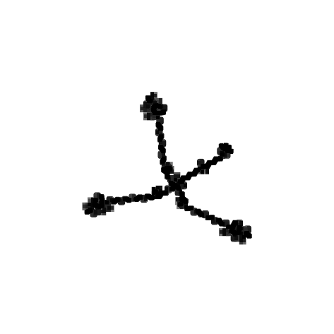 CC(=O)N[C@H]1[C@H]2OC[C@](COCCOCCOCCOCCn3cc(COCC(COCc4cn(CCOCCOCCOCCOC[C@@]56CO[C@@H](O5)[C@H](NC(C)=O)[C@@H](O)[C@H]6O)nn4)(COCc4cn(CCOCCOCCOCCOC[C@@]56CO[C@@H](O5)[C@H](NC(C)=O)[C@@H](O)[C@H]6O)nn4)NC(=O)CCCCCNC(=O)CCCCCB4OC(C)(C)C(C)(C)O4)nn3)(O2)[C@H](O)[C@@H]1O